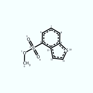 COS(=O)(=O)c1cccc2sccc12